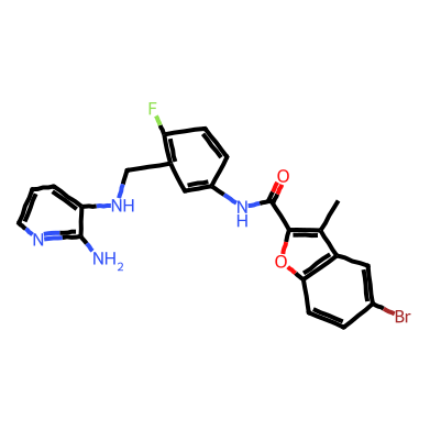 Cc1c(C(=O)Nc2ccc(F)c(CNc3cccnc3N)c2)oc2ccc(Br)cc12